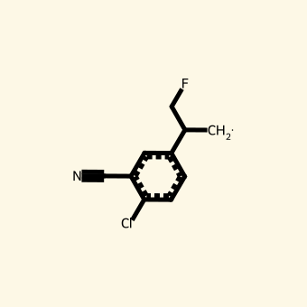 [CH2]C(CF)c1ccc(Cl)c(C#N)c1